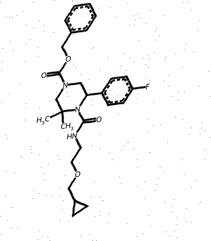 CC1(C)CN(C(=O)OCc2ccccc2)CC(c2ccc(F)cc2)N1C(=O)NCCOCC1CC1